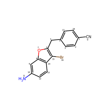 N#Cc1ccc(Cc2oc3cc(N)ccc3c2Br)cc1